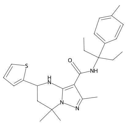 CCC(CC)(NC(=O)c1c(C)nn2c1NC(c1cccs1)CC2(C)C)c1ccc(C)cc1